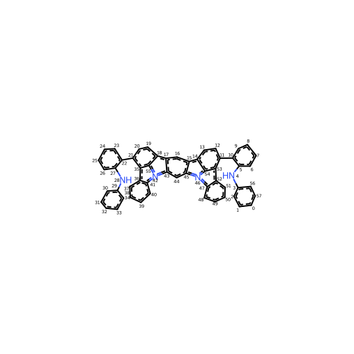 c1ccc(Nc2ccccc2-c2ccc3c4cc5c6ccc(-c7ccccc7Nc7ccccc7)c7c8ccccc8n(c5cc4n4c5ccccc5c2c34)c67)cc1